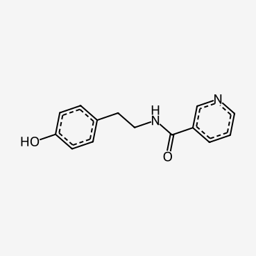 O=C(NCCc1ccc(O)cc1)c1cccnc1